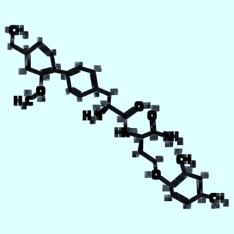 CCc1ccc(-c2ccc(C[C@H](N)C(=O)N[C@H](CCOc3ccc(C)cc3C)C(N)=O)cc2)c(OC)c1